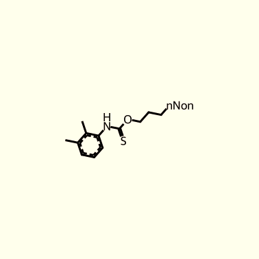 CCCCCCCCCCCCOC(=S)Nc1cccc(C)c1C